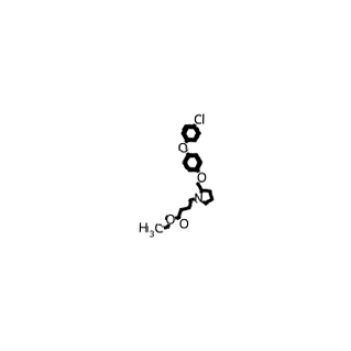 CCOC(=O)CCCN1CCCC1COc1ccc(Oc2ccc(Cl)cc2)cc1